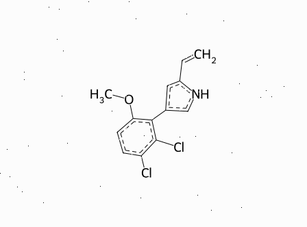 C=Cc1cc(-c2c(OC)ccc(Cl)c2Cl)c[nH]1